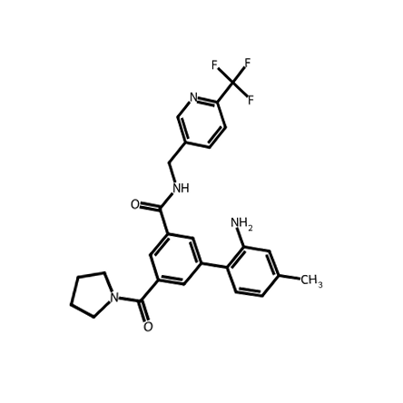 Cc1ccc(-c2cc(C(=O)NCc3ccc(C(F)(F)F)nc3)cc(C(=O)N3CCCC3)c2)c(N)c1